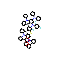 Fc1ccc(N2c3cc(N(c4ccccc4)c4ccccc4)cc4c3B(c3ccccc3N4c3ccccc3)c3cc4c(c(F)c32)Sc2cc(N(c3ccccc3)c3ccccc3-c3ccccc3)cc3c2B4c2ccccc2N3c2ccccc2-c2ccccc2)c(F)c1